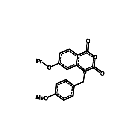 COc1ccc(Cn2c(=O)oc(=O)c3ccc(OC(C)C)cc32)cc1